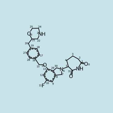 O=C1CCCC(N2Cc3cc(F)cc(OCc4ccc(CC5CNCCO5)cc4)c3C2)C(=O)N1